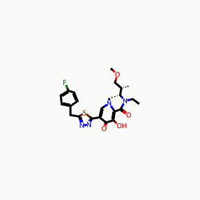 CCN1C(=O)c2c(O)c(=O)c(-c3nnc(Cc4ccc(F)cc4)s3)cn2C[C@@H]1[C@@H](C)COC